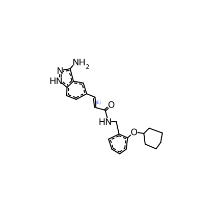 Nc1n[nH]c2ccc(/C=C/C(=O)NCc3ccccc3OC3CCCCC3)cc12